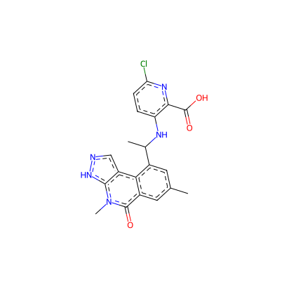 Cc1cc(C(C)Nc2ccc(Cl)nc2C(=O)O)c2c(c1)c(=O)n(C)c1[nH]ncc21